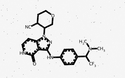 CN(C)C(c1ccc(Nc2nn(C3COCCC3C#N)c3cc[nH]c(=O)c23)cc1)C(F)(F)F